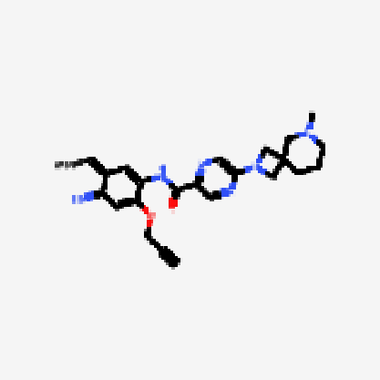 C#CCOC1=CC(=N)/C(=C\NC)C=C1NC(=O)c1cnc(N2CC3(CCCN(C)C3)C2)cn1